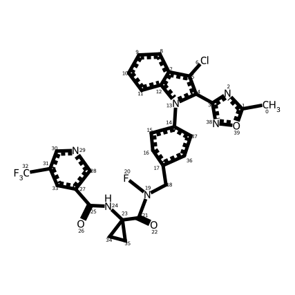 Cc1nc(-c2c(Cl)c3ccccc3n2-c2ccc(CN(F)C(=O)C3(NC(=O)c4cncc(C(F)(F)F)c4)CC3)cc2)no1